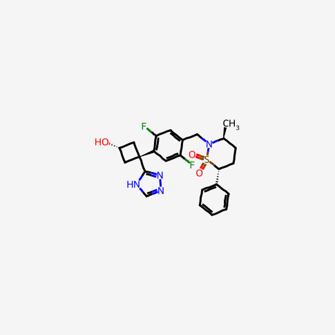 C[C@H]1CC[C@H](c2ccccc2)S(=O)(=O)N1Cc1cc(F)c([C@]2(c3nnc[nH]3)C[C@@H](O)C2)cc1F